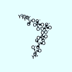 O=P([O-])([O-])[O-].O=P([O-])([O-])[O-].O=P([O-])([O-])[O-].[O]=[V](=[O])[O-].[O]=[V](=[O])[O-].[O]=[V](=[O])[O-].[Y+3].[Y+3].[Y+3].[Y+3]